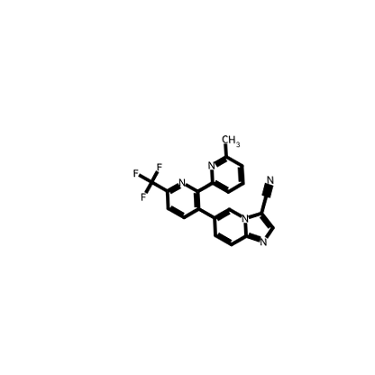 Cc1cccc(-c2nc(C(F)(F)F)ccc2-c2ccc3ncc(C#N)n3c2)n1